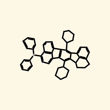 c1ccc(N(c2ccccc2)c2ccc3c4c(cccc24)-c2c-3c(C3CCCCC3)c3c(c2C2CCCCC2)-c2cccc4c2C3CCC4)cc1